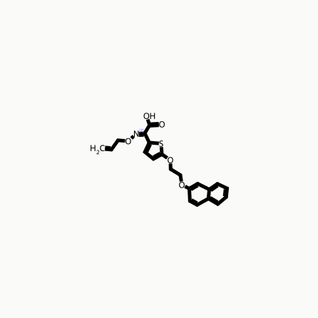 C=CCO/N=C(/C(=O)O)c1ccc(OCCOc2ccc3ccccc3c2)s1